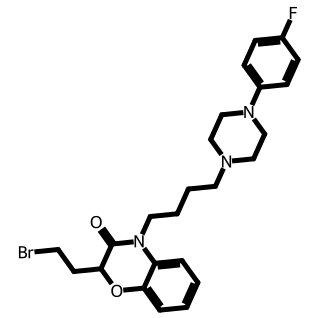 O=C1C(CCBr)Oc2ccccc2N1CCCCN1CCN(c2ccc(F)cc2)CC1